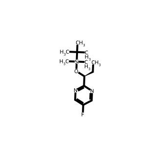 CC[C@H](O[Si](C)(C)C(C)(C)C)c1ncc(F)cn1